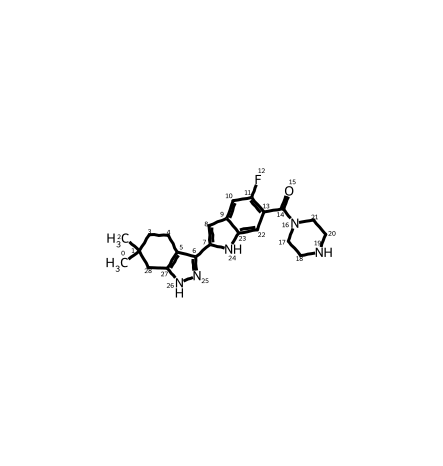 CC1(C)CCc2c(-c3cc4cc(F)c(C(=O)N5CCNCC5)cc4[nH]3)n[nH]c2C1